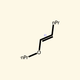 CC[CH]O/C=C/CCC